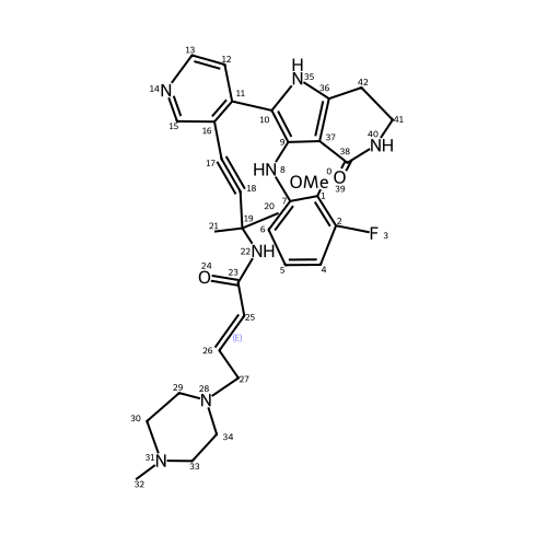 COc1c(F)cccc1Nc1c(-c2ccncc2C#CC(C)(C)NC(=O)/C=C/CN2CCN(C)CC2)[nH]c2c1C(=O)NCC2